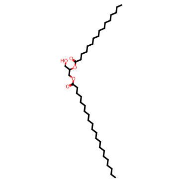 [CH2]CCCCCCCCCCCCCCCCCCCCC(=O)OCC(CO)OC(=O)CCCCCCCCCCCCCCC